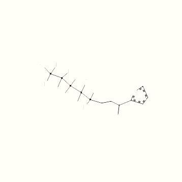 OC(CCC(F)(F)C(F)(F)C(F)(F)C(F)(F)C(F)(F)C(F)(F)F)c1cccs1